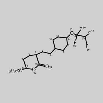 CCCCCCCC1CCC(CCC2CCC(OC(F)(F)C(F)F)CC2)C(=O)O1